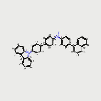 c1ccc2c(-c3ccc(Nc4ccc(-c5ccc(-n6c7ccccc7c7ccccc76)cc5)cc4)cc3)cccc2c1